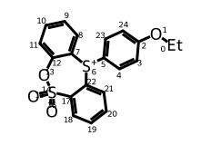 CCOc1ccc([S+]2c3ccccc3OS(=O)(=O)c3ccccc32)cc1